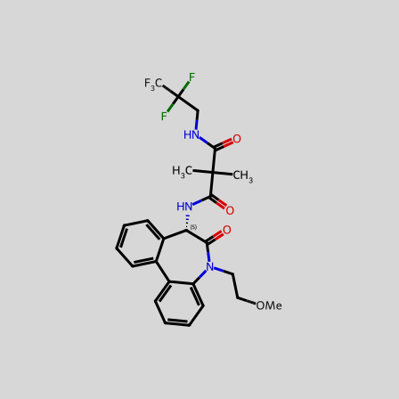 COCCN1C(=O)[C@@H](NC(=O)C(C)(C)C(=O)NCC(F)(F)C(F)(F)F)c2ccccc2-c2ccccc21